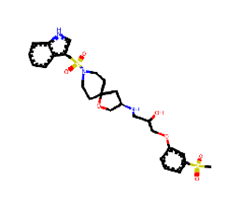 CS(=O)(=O)c1cccc(OCC(O)CN[C@H]2COC3(CCN(S(=O)(=O)c4c[nH]c5ccccc45)CC3)C2)c1